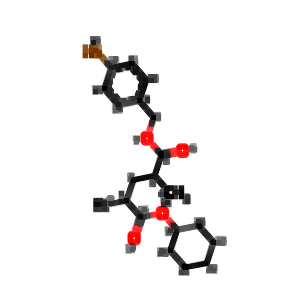 CCC(CC(C)C(=O)OCc1ccc(S)cc1)C(=O)OC1CCCCC1